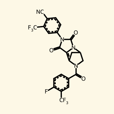 N#Cc1ccc(N2C(=O)C3=C4CC(CN4C(=O)c4ccc(F)c(C(F)(F)F)c4)N3C2=O)cc1C(F)(F)F